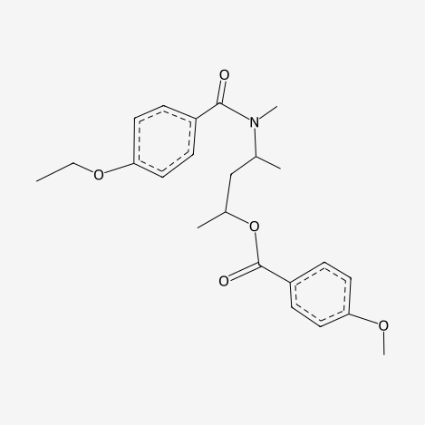 CCOc1ccc(C(=O)N(C)C(C)CC(C)OC(=O)c2ccc(OC)cc2)cc1